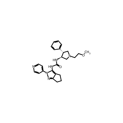 COCCN1C[C@@H](NC(=O)Nc2c3c(nn2-c2ccncc2)CCC3)[C@H](c2ccccc2)C1